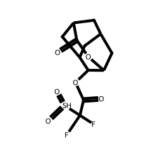 O=C1OC2CC3CC1CC(C3)C2OC(=O)C(F)(F)[SH](=O)=O